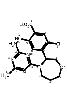 CCOC(=O)c1cc(Cl)c(C2COCCCN2c2cc(C)nc(N)n2)cc1C#N